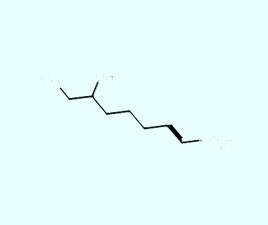 O=C(O)/C=C/CCCC(O)CO